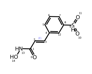 O=C(/C=C/c1cccc([SH](=O)=O)c1)NO